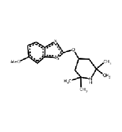 COc1ccc2nc(OC3CC(C)(C)NC(C)(C)C3)sc2c1